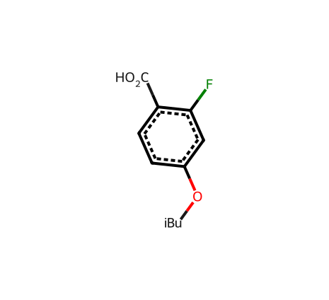 CCC(C)Oc1ccc(C(=O)O)c(F)c1